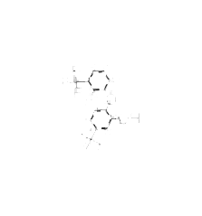 CC(C)(C)c1ccc(Oc2cccc(C(F)(F)F)c2F)c(O)c1